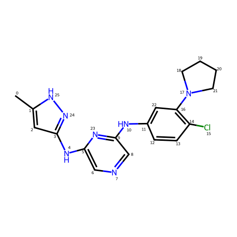 Cc1cc(Nc2cncc(Nc3ccc(Cl)c(N4CCCC4)c3)n2)n[nH]1